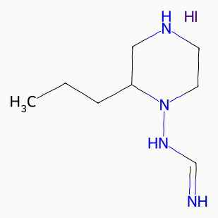 CCCC1CNCCN1NC=N.I